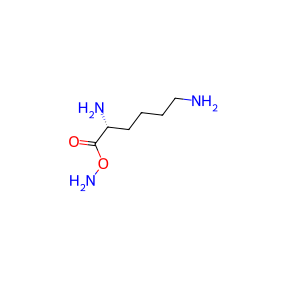 NCCCC[C@@H](N)C(=O)ON